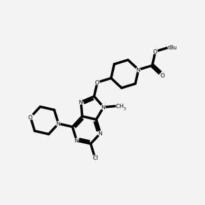 Cn1c(OC2CCN(C(=O)OC(C)(C)C)CC2)nc2c(N3CCOCC3)nc(Cl)nc21